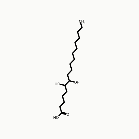 CCCCCCCCCCCC(O)C(O)CCCCC(=O)O